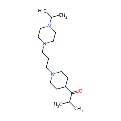 CC(C)C(=O)C1CCN(CCCN2CCN(C(C)C)CC2)CC1